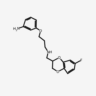 Nc1cccc(OCCCNCC2COc3ccc(F)cc3O2)c1